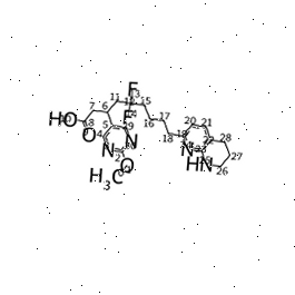 COc1ncc(C(CC(=O)O)CC(F)(F)CCCCc2ccc3c(n2)NCCC3)cn1